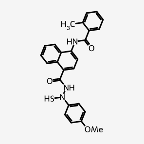 COc1ccc(N(S)NC(=O)c2ccc(NC(=O)c3ccccc3C)c3ccccc23)cc1